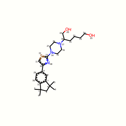 CC1(C)CC(C)(C)c2cc(-c3csc(N4CCN(C(CO)CCCCO)CC4)n3)ccc21